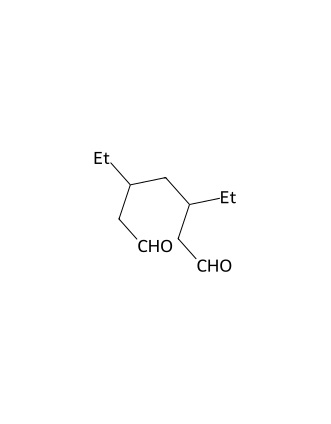 CCC(CC=O)CC(CC)CC=O